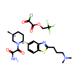 C[C@H]1CC[C@H](c2ccc3sc(CCCN(C)C)nc3c2)N(C(=O)C(N)=O)C1.O=C(Cl)C(=O)OCC(F)(F)F